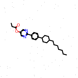 CCCCCCCC1CCC(c2ccc(-c3ncc(OC(=O)CC)cn3)cc2)CC1